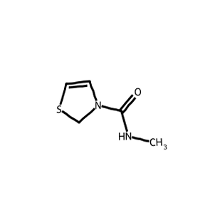 CNC(=O)N1C=CSC1